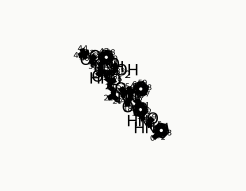 Cc1ccccc1NC(=O)Nc1ccc(CN2C(=O)N(CC(C)CCC(=O)N[C@](N)(CC(=O)O)C(=O)N(CC(=O)OC(C)(C)C)c3ccccc3)C(=O)C2(C)c2ccccc2)cc1